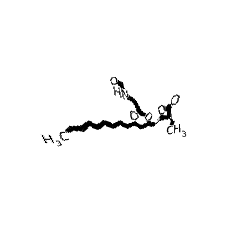 CCCCCCCCCCCC(C[C@@H]1OC(=O)[C@H]1CC)OC(=O)CNC=O